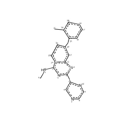 CNc1nc(-c2cnccn2)nc2cc(-c3ccccc3C)ccc12